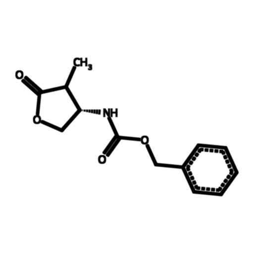 CC1C(=O)OC[C@H]1NC(=O)OCc1ccccc1